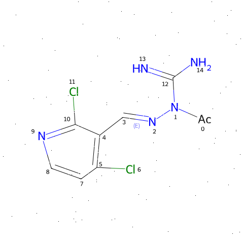 CC(=O)N(/N=C/c1c(Cl)ccnc1Cl)C(=N)N